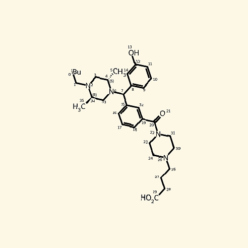 CCC(C)CN1C[C@H](C)N(C(c2cccc(O)c2)c2cccc(C(=O)N3CCN(CCCC(=O)O)CC3)c2)C[C@H]1C